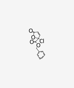 O=C1C=CC(Cl)(C(=O)OCc2ccccc2)O1